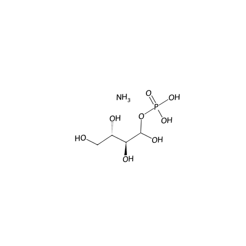 N.O=P(O)(O)OC(O)[C@@H](O)[C@@H](O)CO